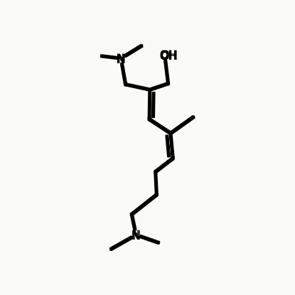 CC(=C/CCCN(C)C)/C=C(\CO)CN(C)C